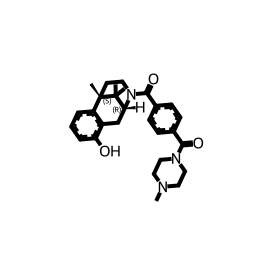 CN1CCN(C(=O)c2ccc(C(=O)N3CC[C@@]4(C)c5cccc(O)c5C[C@@H]3C4(C)C)cc2)CC1